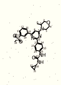 CC1COCCN1c1cc(-c2cccc(S(C)(=O)=O)c2)nc(-c2ccc(NC(=O)NC3CC3)cc2)n1